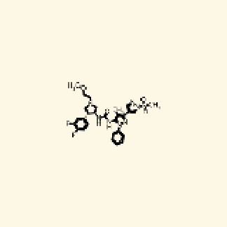 COCCN1C[C@@H](NC(=O)Nc2c(C)c(-c3cnn(S(C)(=O)=O)c3)nn2-c2ccccc2)[C@H](c2ccc(F)c(F)c2)C1